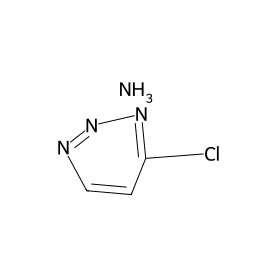 Clc1ccnnn1.N